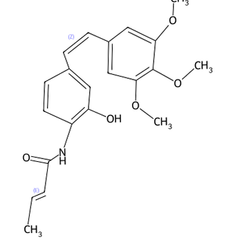 C/C=C/C(=O)Nc1ccc(/C=C\c2cc(OC)c(OC)c(OC)c2)cc1O